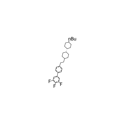 CCCC[C@H]1CC[C@H](C2CCC(CCc3ccc(-c4cc(F)c(F)c(F)c4)cc3)CC2)CC1